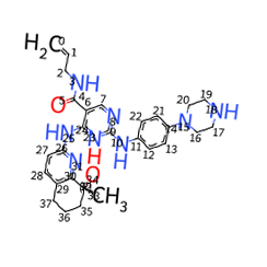 C=CCNC(=O)c1cnc(Nc2ccc(N3CCNCC3)cc2)nc1Nc1ccc2c(n1)[C@](C)(O)CCC2